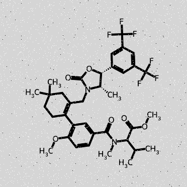 COC(=O)C(C(C)C)N(C)C(=O)c1ccc(OC)c(C2=C(CN3C(=O)O[C@H](c4cc(C(F)(F)F)cc(C(F)(F)F)c4)[C@@H]3C)CC(C)(C)CC2)c1